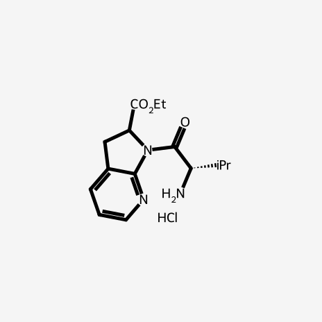 CCOC(=O)C1Cc2cccnc2N1C(=O)[C@@H](N)C(C)C.Cl